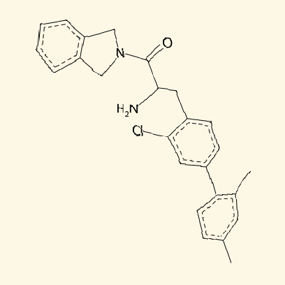 Cc1ccc(-c2ccc(CC(N)C(=O)N3Cc4ccccc4C3)c(Cl)c2)c(C)c1